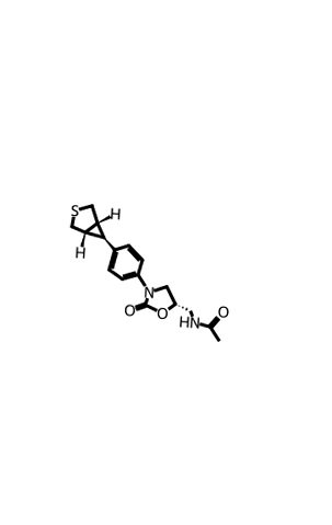 CC(=O)NC[C@H]1CN(c2ccc([C@H]3[C@@H]4CSC[C@@H]43)cc2)C(=O)O1